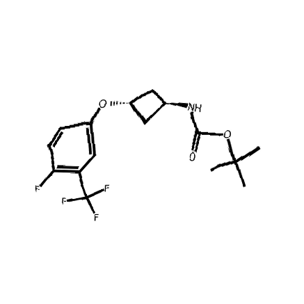 CC(C)(C)OC(=O)N[C@H]1C[C@H](Oc2ccc(F)c(C(F)(F)F)c2)C1